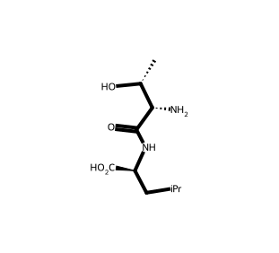 CC(C)C[C@H](NC(=O)[C@@H](N)[C@@H](C)O)C(=O)O